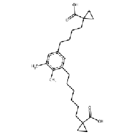 Cc1cc(CCCCC2(C(=O)O)CC2)cc(CCCCCCC2(C(=O)O)CC2)c1C